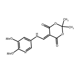 COc1cc(NC=C2C(=O)OC(C)(C)OC2=O)cnc1OC